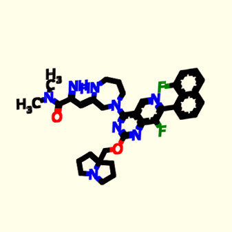 CN(C)C(=O)C(=N)/C=C1/CN(c2nc(OCC34CCCN3CCC4)nc3c(F)c(-c4cccc5cccc(F)c45)ncc23)CCCN1